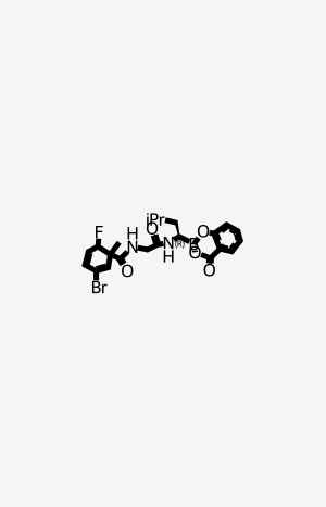 CC(C)C[C@H](NC(=O)CNC(=O)C1(C)C=C(Br)C=CC1F)B1OC(=O)c2ccccc2O1